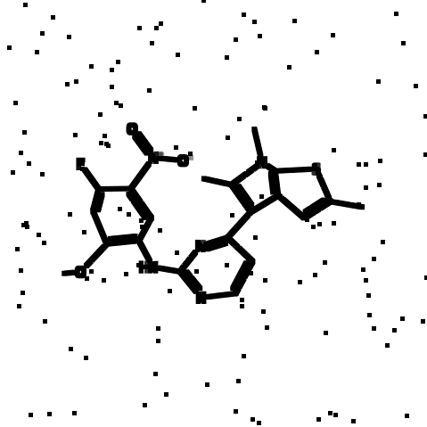 COc1cc(F)c([N+](=O)[O-])cc1Nc1nccc(-c2c(C)n(C)c3sc(C)cc23)n1